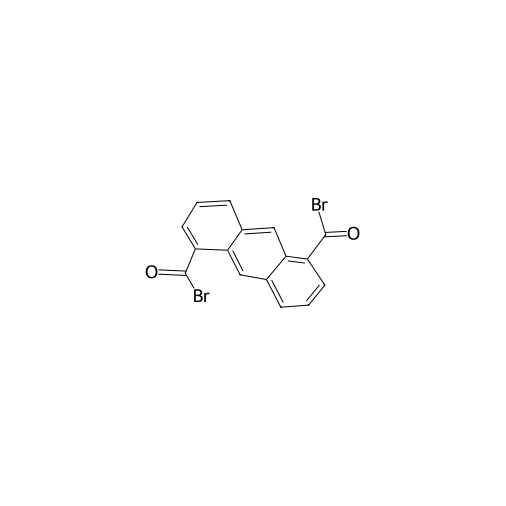 O=C(Br)c1cccc2cc3c(C(=O)Br)cccc3cc12